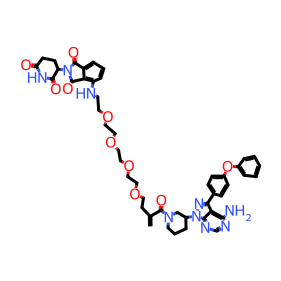 C=C(CCOCCOCCOCCOCCNc1cccc2c1C(=O)N(C1CCC(=O)NC1=O)C2=O)C(=O)N1CCCC(n2nc(-c3ccc(Oc4ccccc4)cc3)c3c(N)ncnc32)C1